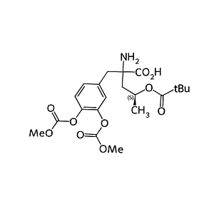 COC(=O)Oc1ccc(CC(N)(C[C@H](C)OC(=O)C(C)(C)C)C(=O)O)cc1OC(=O)OC